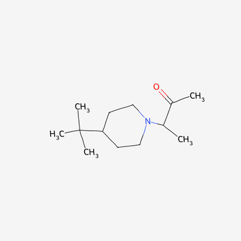 CC(=O)C(C)N1CCC(C(C)(C)C)CC1